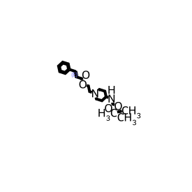 CC(C)(C)OC(=O)NC1CCN(CCOC(=O)/C=C/c2ccccc2)CC1